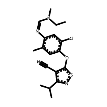 CCN(C)/C=N\c1cc(Cl)c(Oc2snc(C(C)C)c2C#N)cc1C